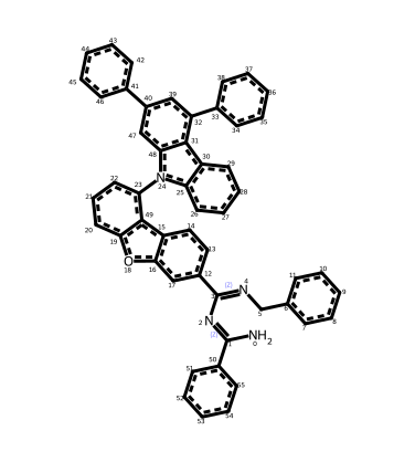 N/C(=N\C(=N/Cc1ccccc1)c1ccc2c(c1)oc1cccc(-n3c4ccccc4c4c(-c5ccccc5)cc(-c5ccccc5)cc43)c12)c1ccccc1